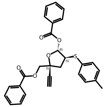 C#C[C@]1(COC(=O)c2ccccc2)C[C@H](Sc2ccc(C)cc2)[C@@H](OC(=O)c2ccccc2)O1